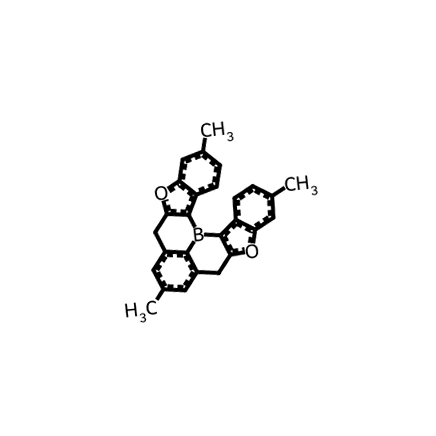 Cc1cc2c3c(c1)Cc1oc4cc(C)ccc4c1B3c1c(oc3cc(C)ccc13)C2